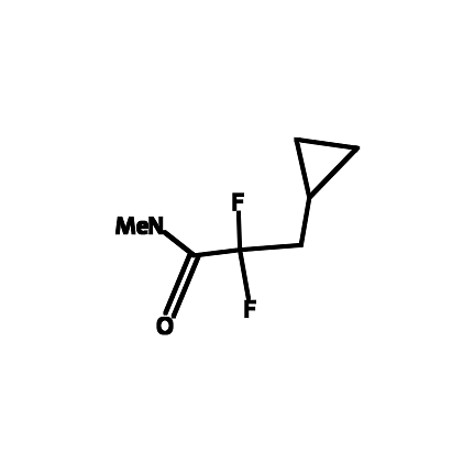 [CH2]NC(=O)C(F)(F)CC1CC1